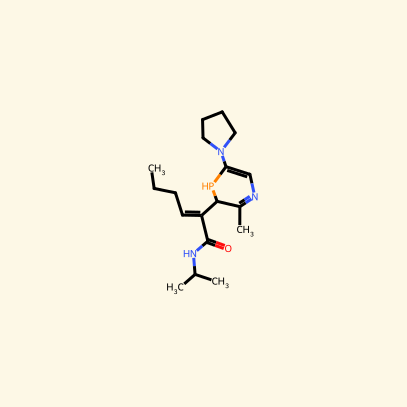 CCC/C=C(/C(=O)NC(C)C)C1PC(N2CCCC2)=CN=C1C